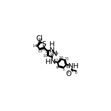 CC(=O)Nc1ccc(Nc2cc(-c3ccc(Cl)s3)[nH]n2)cc1